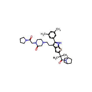 Cc1cc(C)cc(-c2[nH]c3sc(C(C)(C)C(=O)N4C5CCC4CC5)cc3c2CCN2CCN(CC(=O)N3CCCC3)C(=O)C2)c1